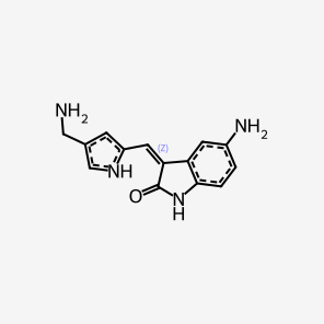 NCc1c[nH]c(/C=C2\C(=O)Nc3ccc(N)cc32)c1